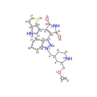 COCC1CC(Cn2nc(C3=C(c4c[nH]c5ccsc45)C(=O)NC3=O)c3ccccc32)CCN1